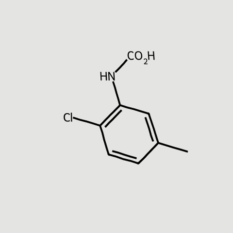 Cc1ccc(Cl)c(NC(=O)O)c1